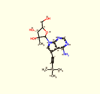 CC1(O)C(n2cc(C#C[Si](C)(C)C)c3c(N)ncnc32)OC(CO)[C@H]1O